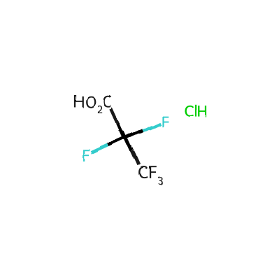 Cl.O=C(O)C(F)(F)C(F)(F)F